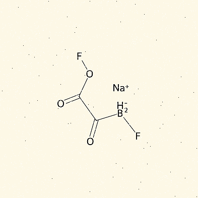 O=C([BH2-]F)C(=O)OF.[Na+]